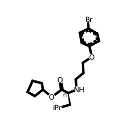 CC(C)C[C@H](NCCCOc1ccc(Br)cc1)C(=O)OC1CCCC1